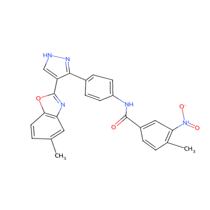 Cc1ccc2oc(-c3c[nH]nc3-c3ccc(NC(=O)c4ccc(C)c([N+](=O)[O-])c4)cc3)nc2c1